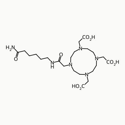 NC(=O)CCCCCNC(=O)CN1CCN(CC(=O)O)CCN(CC(=O)O)CCN(CC(=O)O)CC1